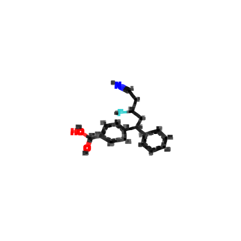 N#CCC(F)CC(c1ccccc1)c1ccc(C(=O)O)cc1